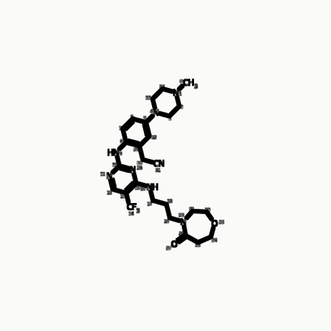 CN1CCN(c2ccc(Nc3ncc(C(F)(F)F)c(NCCCN4CCOCCC4=O)n3)c(CC#N)c2)CC1